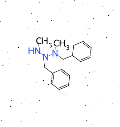 CNN(Cc1ccccc1)N(C)CC1C=CC=CC1